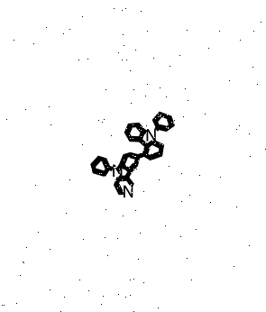 c1ccc(-n2c3ccncc3c3cc(-c4cccc5c4c4ccccc4n5-c4ccccc4)ccc32)cc1